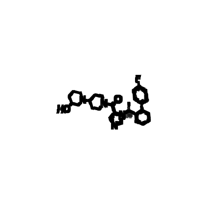 C[C@@H](c1ccccc1-c1ccc(F)cc1)n1cncc1C(=O)N1CCC(N2CCCC(O)C2)CC1